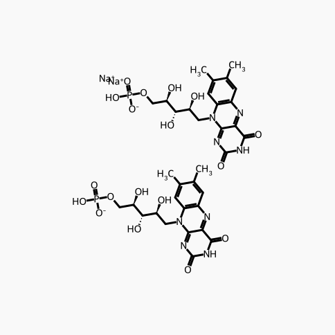 Cc1cc2nc3c(=O)[nH]c(=O)nc-3n(C[C@H](O)[C@H](O)[C@H](O)COP(=O)([O-])O)c2cc1C.Cc1cc2nc3c(=O)[nH]c(=O)nc-3n(C[C@H](O)[C@H](O)[C@H](O)COP(=O)([O-])O)c2cc1C.[Na+].[Na+]